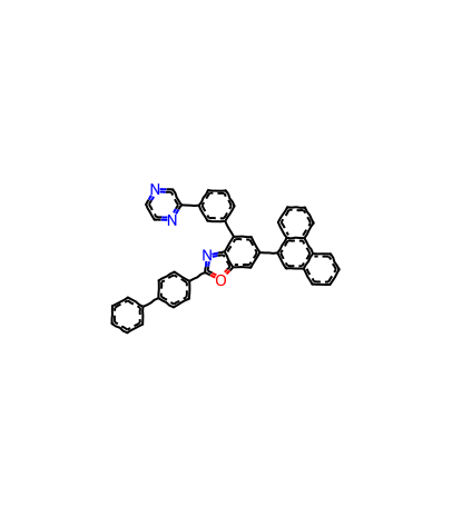 c1ccc(-c2ccc(-c3nc4c(-c5cccc(-c6cnccn6)c5)cc(-c5cc6ccccc6c6ccccc56)cc4o3)cc2)cc1